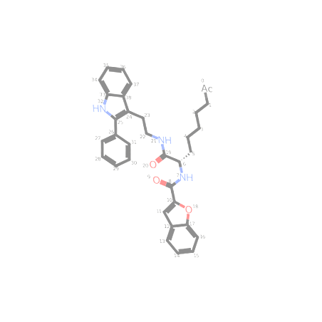 CC(=O)CCCCC[C@H](NC(=O)c1cc2ccccc2o1)C(=O)NCCc1c(-c2ccccc2)[nH]c2ccccc12